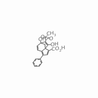 CS(=O)(=O)C1=C(O)C23CC1(O)C=CC2=C(c1ccccc1)C=C3C(=O)O